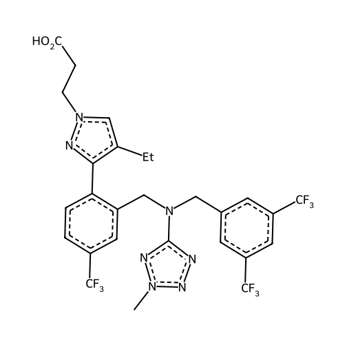 CCc1cn(CCC(=O)O)nc1-c1ccc(C(F)(F)F)cc1CN(Cc1cc(C(F)(F)F)cc(C(F)(F)F)c1)c1nnn(C)n1